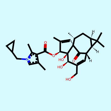 CC1=C[C@]23C(=O)[C@@H](C=C(CO)[C@@H](O)[C@]2(O)[C@H]1OC(=O)c1c(C)cn(CC2CC2)c1C)[C@H]1[C@@H](C[C@H]3C)C1(C)C